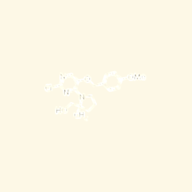 COc1ccc(COc2cnc(Cl)nc2N2CCCC2(C)CO)cc1